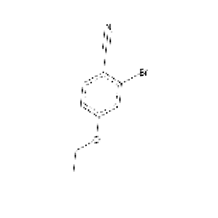 CCOc1ccc(C#N)c(Br)c1